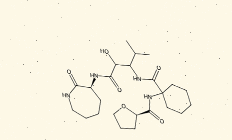 CC(C)C(NC(=O)C1(NC(=O)[C@H]2CCCO2)CCCCC1)C(O)C(=O)N[C@H]1CCCCNC1=O